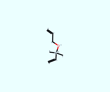 C=CCO[Si](C)(C)C=C